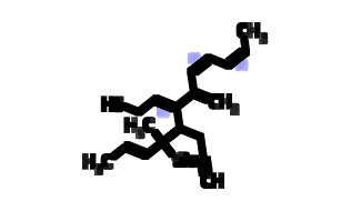 C#CCC(/C(=C\CS)C(=C)/C=C\C=C/C)C(C)(C=CC)C(C)(C)C